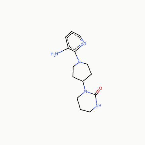 Nc1cccnc1N1CCC(N2CCCNC2=O)CC1